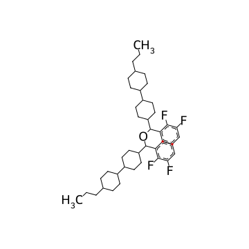 CCCC1CCC(C2CCC(C(OC(c3cccc(F)c3F)C3CCC(C4CCC(CCC)CC4)CC3)c3cccc(F)c3F)CC2)CC1